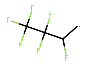 [CH2]C(F)C(F)(F)C(F)(F)F